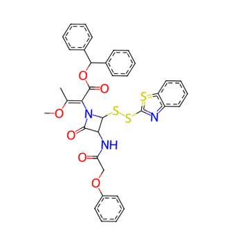 CO/C(C)=C(/C(=O)OC(c1ccccc1)c1ccccc1)N1C(=O)C(NC(=O)COc2ccccc2)C1SSc1nc2ccccc2s1